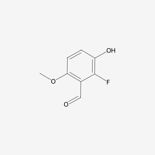 COc1ccc(O)c(F)c1C=O